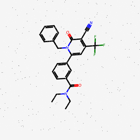 CCN(CC)C(=O)c1cccc(-c2cc(C(F)(F)F)c(C#N)c(=O)n2Cc2ccccc2)c1